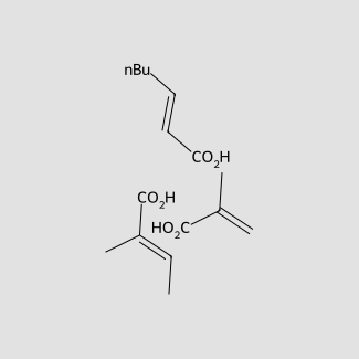 C=C(C)C(=O)O.CC=C(C)C(=O)O.CCCCC=CC(=O)O